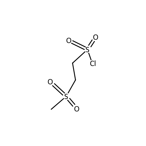 CS(=O)(=O)CCS(=O)(=O)Cl